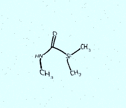 CNC(=O)[Si](C)C